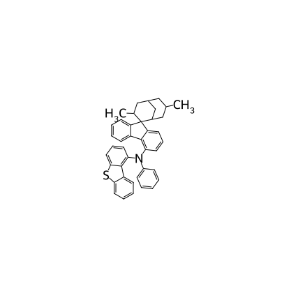 CC1CC2CC(C)C3(c4ccccc4-c4c(N(c5ccccc5)c5cccc6sc7ccccc7c56)cccc43)C(C1)C2